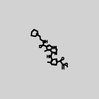 CONC(=O)c1ccc(C)c(Nc2ncnn3cc(C(=O)NCCN4CCCCC4)c(C)c23)c1